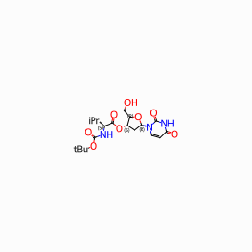 CC(C)[C@H](NC(=O)OC(C)(C)C)C(=O)O[C@H]1C[C@H](n2ccc(=O)[nH]c2=O)O[C@@H]1CO